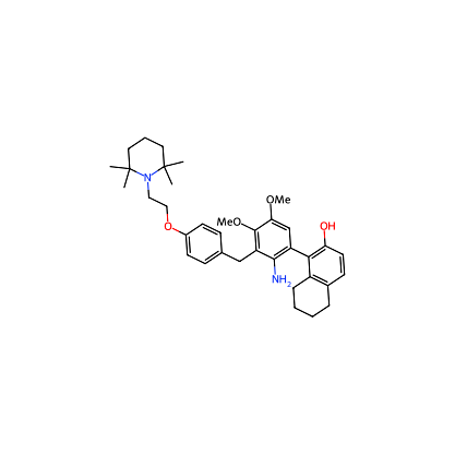 COc1cc(-c2c(O)ccc3c2CCCC3)c(N)c(Cc2ccc(OCCN3C(C)(C)CCCC3(C)C)cc2)c1OC